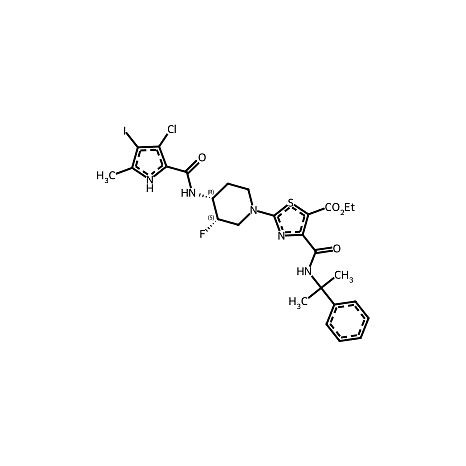 CCOC(=O)c1sc(N2CC[C@@H](NC(=O)c3[nH]c(C)c(I)c3Cl)[C@@H](F)C2)nc1C(=O)NC(C)(C)c1ccccc1